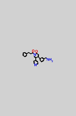 NCc1cccc(-c2cc(=O)n(C(=O)CCc3ccccc3)cc2-c2ccncc2)c1